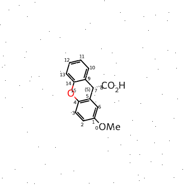 COc1ccc2c(c1)[C@@H](C(=O)O)c1ccccc1O2